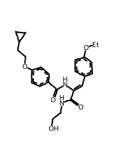 CCOc1ccc(C=C(NC(=O)c2ccc(OCCC3CC3)cc2)C(=O)NCCO)cc1